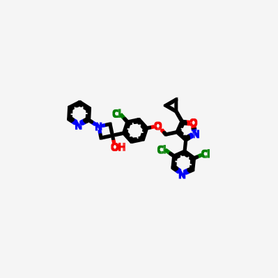 OC1(c2ccc(OCc3c(-c4c(Cl)cncc4Cl)noc3C3CC3)cc2Cl)CN(c2ccccn2)C1